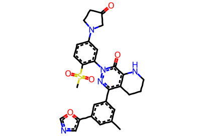 Cc1cc(-c2cnco2)cc(-c2nn(-c3cc(N4CCC(=O)C4)ccc3S(C)(=O)=O)c(=O)c3c2CCCN3)c1